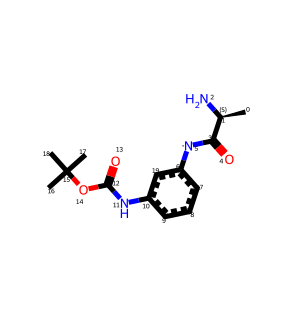 C[C@H](N)C(=O)[N]c1cccc(NC(=O)OC(C)(C)C)c1